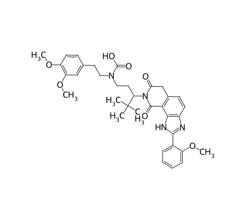 COc1ccc(CCN(CCC(N2C(=O)Cc3ccc4nc(-c5ccccc5OC)[nH]c4c3C2=O)C(C)(C)C)C(=O)O)cc1OC